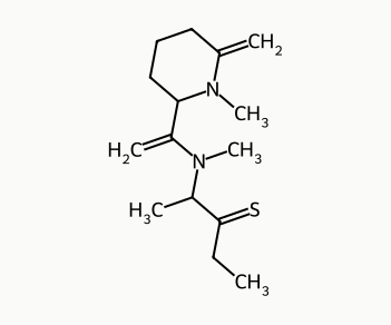 C=C(C1CCCC(=C)N1C)N(C)C(C)C(=S)CC